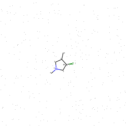 CC1CN(C)C[C@@H]1F